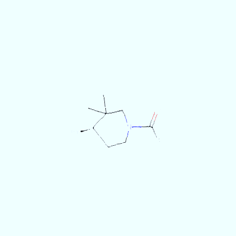 CC(=O)C(=O)N1CC[C@@H](C(C)C)C(C)(C)C1